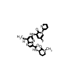 CNc1cc(Nc2cc(F)cn(-c3ccccn3)c2=O)nn2c(C(=O)N[C@@H]3CCCN(C)C3=O)cnc12